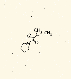 CCC(C)S(=O)(=O)N1CCCC1